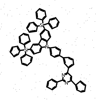 c1ccc(-c2cc(-c3cccc(-c4ccc(-n5c6ccc([Si](c7ccccc7)(c7ccccc7)c7ccccc7)cc6c6cc([Si](c7ccccc7)(c7ccccc7)c7ccccc7)ccc65)cc4)c3)nc(-c3ccccc3)n2)cc1